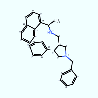 C[C@@H](NC[C@H]1CN(Cc2ccccc2)C[C@@H]1c1ccccc1)c1cccc2ccccc12